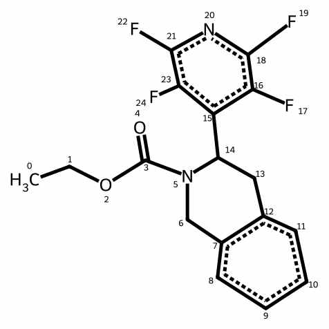 CCOC(=O)N1Cc2ccccc2CC1c1c(F)c(F)nc(F)c1F